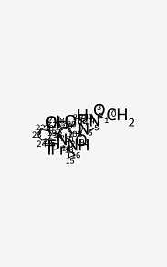 C=CC(=O)N1CCN2C(=O)c3c(NC4(C(C)C)CC4)nc(-c4c(O)cccc4F)c(Cl)c3OC[C@H]2C1